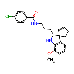 COc1cccc2c1NC(CCCNC(=O)c1ccc(Cl)cc1)C21C=CCC1